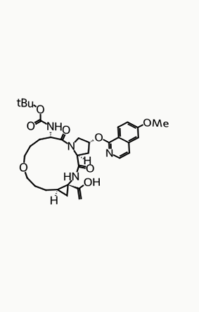 C=C(O)[C@@]12C[C@H]1CCCOCCC[C@H](NC(=O)OC(C)(C)C)C(=O)N1C[C@H](Oc3nccc4cc(OC)ccc34)C[C@H]1C(=O)N2